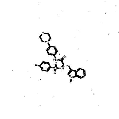 Cc1ccc(S(=O)(=O)N[C@@H](Cc2cn(C)c3ccccc23)C(=O)Nc2ccc(N3CCOCC3)cc2)cc1